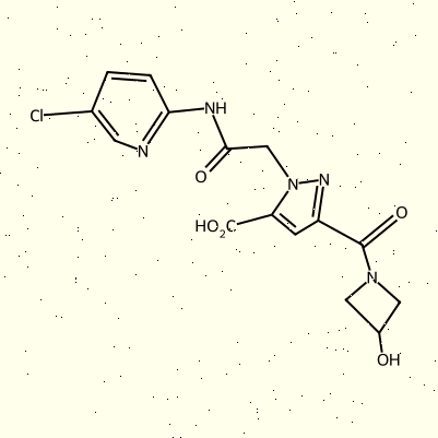 O=C(Cn1nc(C(=O)N2CC(O)C2)cc1C(=O)O)Nc1ccc(Cl)cn1